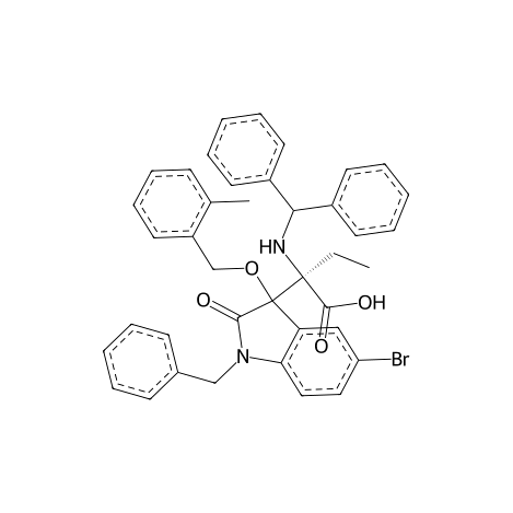 CC[C@](NC(c1ccccc1)c1ccccc1)(C(=O)O)C1(OCc2ccccc2C)C(=O)N(Cc2ccccc2)c2ccc(Br)cc21